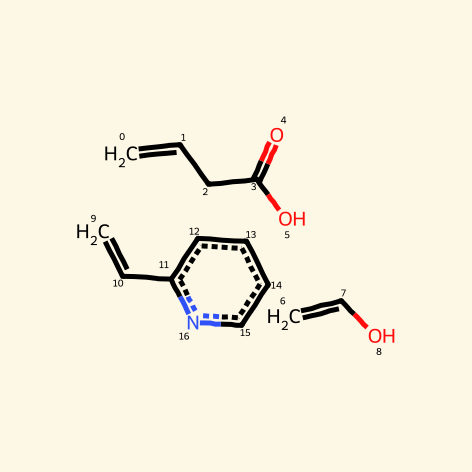 C=CCC(=O)O.C=CO.C=Cc1ccccn1